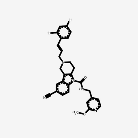 COc1cc(CNC(=O)n2c3c(c4cc(C#N)ccc42)CN(CC=Cc2ccc(Cl)cc2Cl)CC3)ccn1